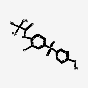 CC(C)Sc1ccc(S(=O)(=O)c2ccc(NC(=O)[C@@](C)(O)C(F)(F)F)c(Cl)c2)cc1